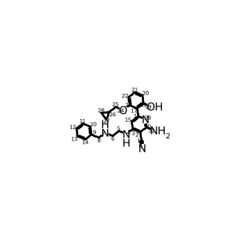 N#Cc1c(NCCNCc2ccccc2)cc(-c2c(O)cccc2OCC2CC2)nc1N